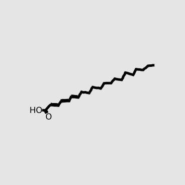 CCCCCCCCCCCCCC/C=C/C=C/C=C/C(=O)O